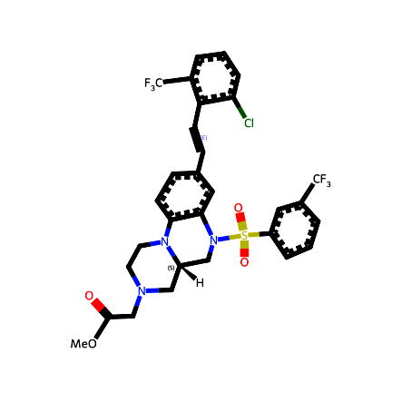 COC(=O)CN1CCN2c3ccc(/C=C/c4c(Cl)cccc4C(F)(F)F)cc3N(S(=O)(=O)c3cccc(C(F)(F)F)c3)C[C@@H]2C1